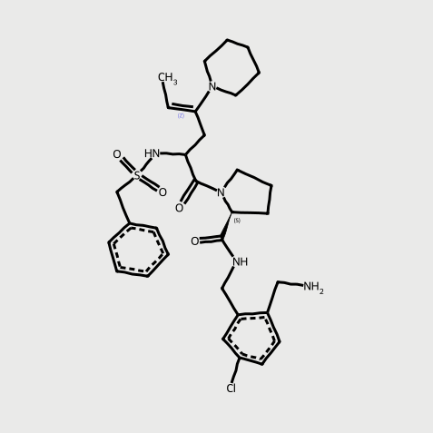 C/C=C(/CC(NS(=O)(=O)Cc1ccccc1)C(=O)N1CCC[C@H]1C(=O)NCc1cc(Cl)ccc1CN)N1CCCCC1